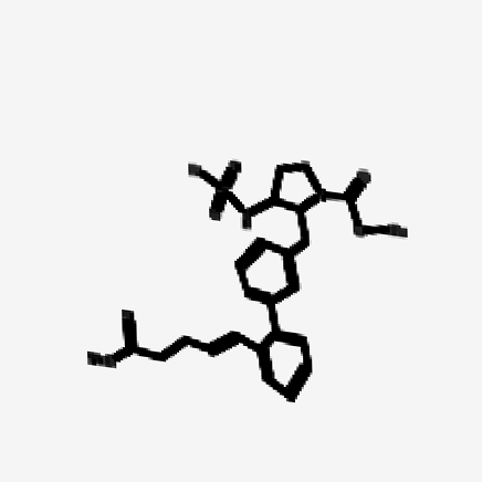 CCS(=O)(=O)NC1CCN(C(=O)OC(C)(C)C)C1Cc1cccc(-c2ccccc2C=CCCC(=O)OC)c1